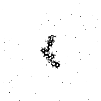 O=C(/C=C/c1ccc(C(F)(F)P(=O)(O)O)cc1)NC(CC1CCCCC1)C(=O)N1CCCC1C(=O)N1CCc2ccccc2C1